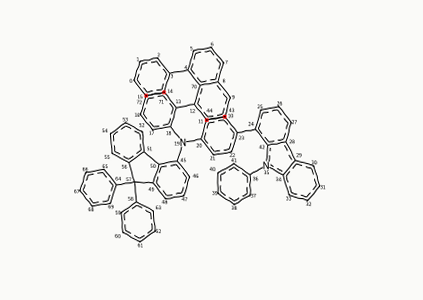 c1ccc(-c2cccc3cccc(-c4ccccc4N(c4ccc(-c5cccc6c7ccccc7n(-c7ccccc7)c56)cc4)c4cccc5c4-c4ccccc4C5(c4ccccc4)c4ccccc4)c23)cc1